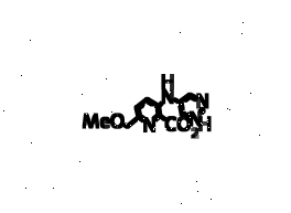 COCc1ccc(Nc2cncnc2)c(C(=O)O)n1